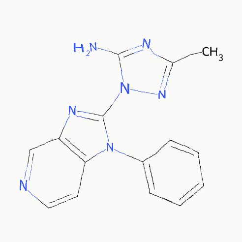 Cc1nc(N)n(-c2nc3cnccc3n2-c2ccccc2)n1